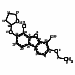 CCOc1ccc2c(oc3c(Cl)c(OC4CCCO4)ccc32)c1F